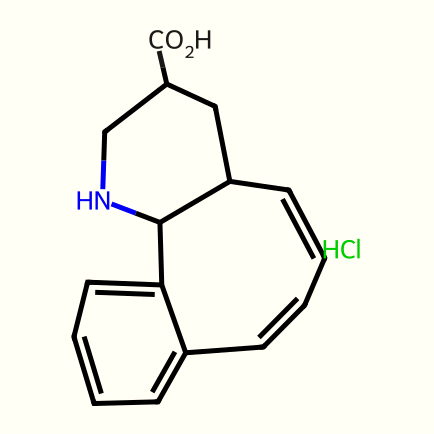 Cl.O=C(O)C1CNC2c3ccccc3/C=C\C=C/C2C1